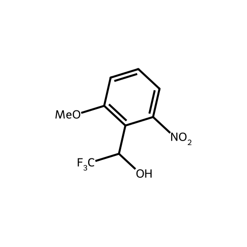 COc1cccc([N+](=O)[O-])c1C(O)C(F)(F)F